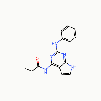 CCC(=O)Nc1nc(Nc2ccccc2)nc2[nH]ccc12